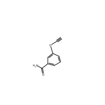 C#COc1cccc(C(N)=O)c1